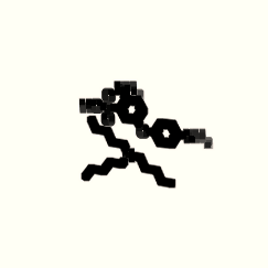 CCCCCN(CCCCC)CCCCC.Nc1ccc(Oc2ccc(N)c(S(=O)(=O)O)c2)cc1